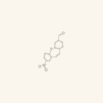 O=Cc1ccc2c(c1)Sc1ccc([N+](=O)[O-])cc1C=C2